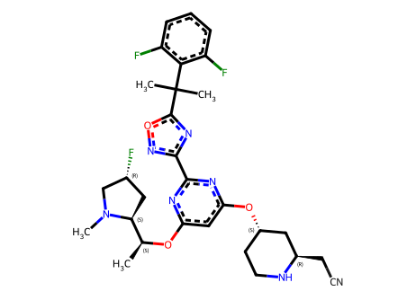 C[C@H](Oc1cc(O[C@H]2CCN[C@H](CC#N)C2)nc(-c2noc(C(C)(C)c3c(F)cccc3F)n2)n1)[C@@H]1C[C@@H](F)CN1C